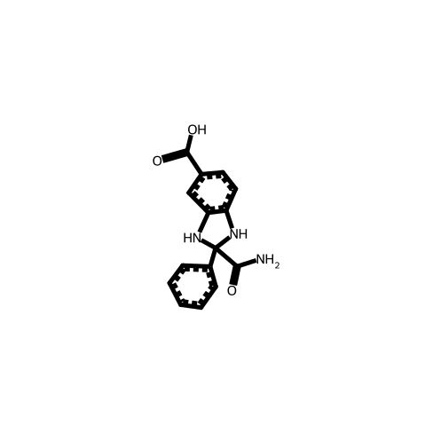 NC(=O)C1(c2ccccc2)Nc2ccc(C(=O)O)cc2N1